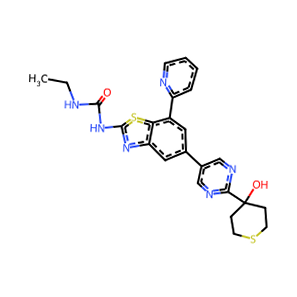 CCNC(=O)Nc1nc2cc(-c3cnc(C4(O)CCSCC4)nc3)cc(-c3ccccn3)c2s1